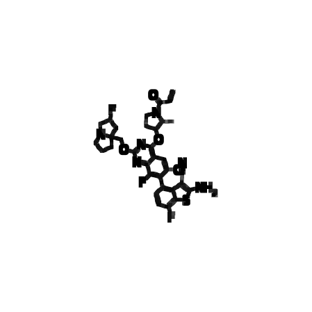 C=CC(=O)N1CCC(Oc2nc(OCC34CCCN3CC(F)C4)nc3c(F)c(-c4ccc(F)c5sc(N)c(C#N)c45)c(Cl)cc23)C1C